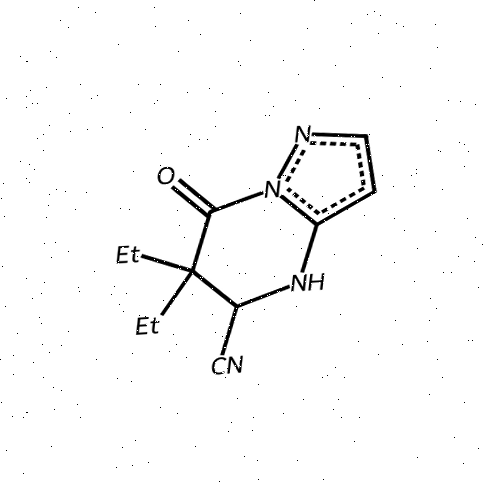 CCC1(CC)C(=O)n2nccc2NC1C#N